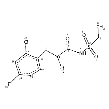 CCS(=O)(=O)NC(=O)C(Cl)Cc1c[c]c(F)cc1Cl